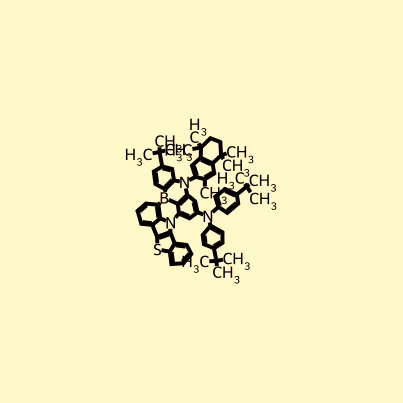 Cc1cc2c(cc1N1c3cc(C(C)(C)C)ccc3B3c4c1cc(N(c1ccc(C(C)(C)C)cc1)c1ccc(C(C)(C)C)cc1)cc4-n1c4c3cccc4c3sc4ccccc4c31)C(C)(C)CCC2(C)C